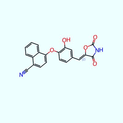 N#Cc1ccc(Oc2ccc(/C=C3\OC(=O)NC3=O)cc2O)c2ccccc12